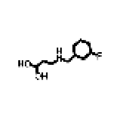 OC(O)CCNCC1CCCC(F)C1